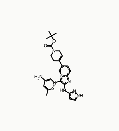 CC1=CC(N)=CN(c2c(Nc3cc[nH]n3)nc3ccc(C4=CCN(C(=O)OC(C)(C)C)CC4)cn23)S1